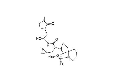 CC(C)(C)OC(=O)N1CCCCC12CCN(C(CC1CC1)C(=O)NC(C#N)CC1CCNC1=O)C2=O